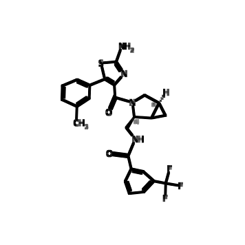 Cc1cccc(-c2sc(N)nc2C(=O)N2C[C@H]3CC3[C@H]2CNC(=O)c2cccc(C(F)(F)F)c2)c1